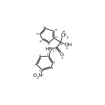 O=C(Nc1ccc([N+](=O)[O-])cc1)C(O)(c1ccccc1)C(F)(F)F